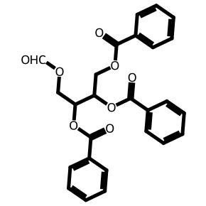 O=COCC(OC(=O)c1ccccc1)C(COC(=O)c1ccccc1)OC(=O)c1ccccc1